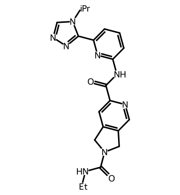 CCNC(=O)N1Cc2cnc(C(=O)Nc3cccc(-c4nncn4C(C)C)n3)cc2C1